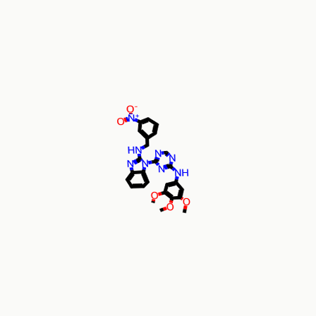 COc1cc(Nc2ncnc(-n3c(NCc4cccc([N+](=O)[O-])c4)nc4ccccc43)n2)cc(OC)c1OC